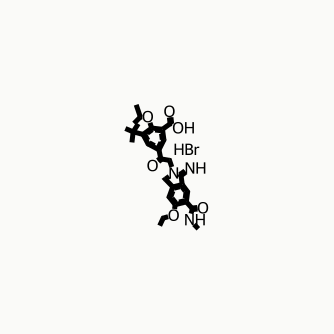 Br.CCOc1cc2c(cc1C(=O)NC)C(=N)N(CC(=O)c1cc(C(=O)O)c(OC(C)C)c(C(C)(C)C)c1)C2